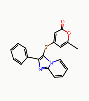 Cc1cc(Sc2c(-c3ccccc3)nc3ccccn23)cc(=O)o1